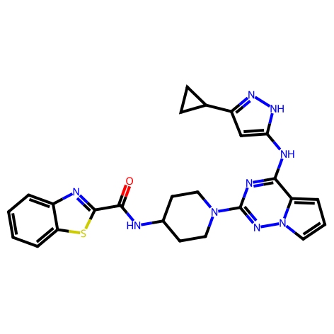 O=C(NC1CCN(c2nc(Nc3cc(C4CC4)n[nH]3)c3cccn3n2)CC1)c1nc2ccccc2s1